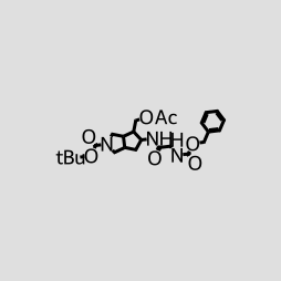 CC(=O)OCC1C(NC(=O)CNC(=O)OCc2ccccc2)CC2CN(C(=O)OC(C)(C)C)CC21